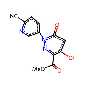 COC(=O)c1nn(-c2ccc(C#N)nc2)c(=O)cc1O